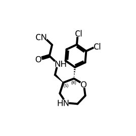 [C-]#[N+]CC(=O)NC[C@@H]1CNCCO[C@H]1c1ccc(Cl)c(Cl)c1